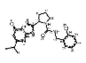 CC(C)c1cc(=O)n2nc([C@H]3CCCN3C(=O)NCc3ccccc3Cl)sc2n1